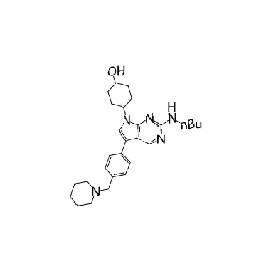 CCCCNc1ncc2c(-c3ccc(CN4CCCCC4)cc3)cn(C3CCC(O)CC3)c2n1